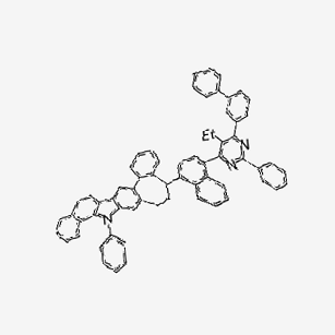 CCc1c(-c2cccc(-c3ccccc3)c2)nc(-c2ccccc2)nc1-c1ccc(C2CCc3cc4c(cc3-c3ccccc32)c2ccc3ccccc3c2n4-c2ccccc2)c2ccccc12